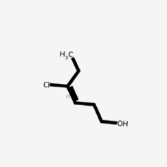 CC/C(Cl)=C\CCO